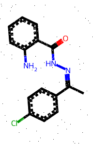 CC(=NNC(=O)c1ccccc1N)c1ccc(Cl)cc1